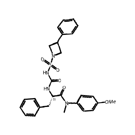 COc1ccc(N(C)C(=O)[C@H](Cc2ccccc2)NC(=O)NS(=O)(=O)N2CC(c3ccccc3)C2)cc1